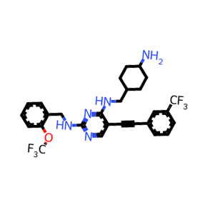 NC1CCC(CNc2nc(NCc3ccccc3OC(F)(F)F)ncc2C#Cc2cccc(C(F)(F)F)c2)CC1